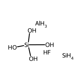 F.O[Si](O)(O)O.[AlH3].[SiH4]